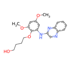 COc1cc(Nc2[c]nc3ccccc3n2)c(OCCCCO)c(OC)c1